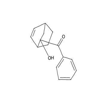 O=C(c1ccccc1)C1(O)CC2C=CC1CC2